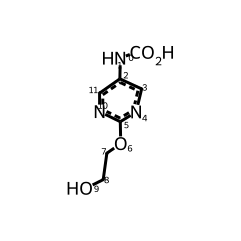 O=C(O)Nc1cnc(OCCO)nc1